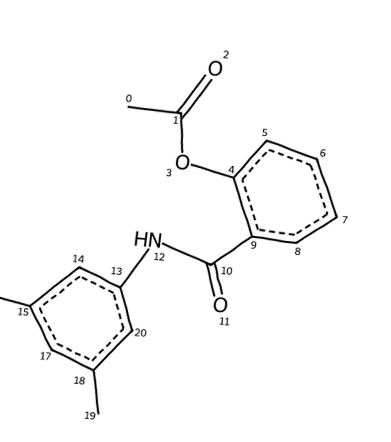 CC(=O)Oc1ccccc1C(=O)Nc1cc(C)cc(C)c1